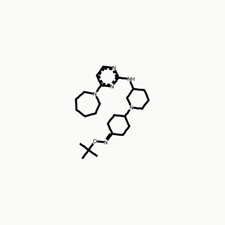 CC(C)(C)ON=C1CCC(N2CCCC(Nc3nccc(N4CCCCCC4)n3)C2)CC1